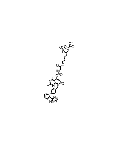 Cc1nc(C)c2c(OC(=O)NCC(=O)OCCCCC(CO[N+](=O)[O-])O[N+](=O)[O-])cc(=O)n(Cc3ccc(-c4ccccc4-c4nnn[nH]4)cc3)c2n1